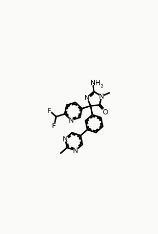 Cc1ncc(-c2cccc(C3(c4ccc(C(F)F)nc4)N=C(N)N(C)C3=O)c2)cn1